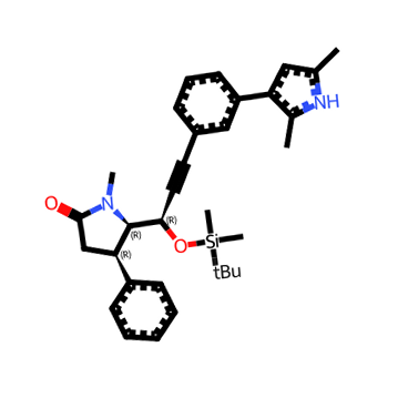 Cc1cc(-c2cccc(C#C[C@@H](O[Si](C)(C)C(C)(C)C)[C@H]3[C@@H](c4ccccc4)CC(=O)N3C)c2)c(C)[nH]1